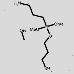 CO.CO[Si](CCCN)(OC)OCCCN